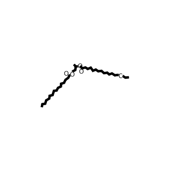 CCCCCCCCCCCCCCCCCC(=O)OC(C)CCOC(=O)CCCCCCCCCCCCCCC